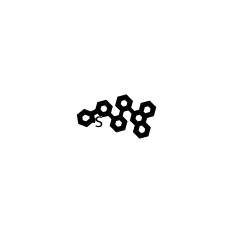 c1ccc(-c2cc3ccccc3c3ccccc23)c(-c2ccccc2-c2cccc3c2sc2ccccc23)c1